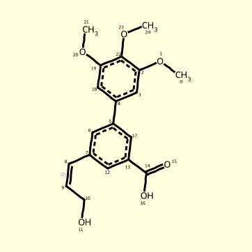 COc1cc(-c2cc(/C=C\CO)cc(C(=O)O)c2)cc(OC)c1OC